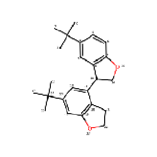 CC(C)(C)c1ccc2c(c1)C(c1cc(C(C)(C)C)cc3c1CCO3)CO2